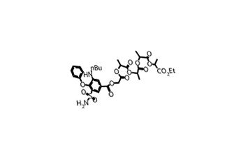 CCCCNc1cc(C(=O)OCC(=O)OC(C)C(=O)OC(C)C(=O)OC(C)C(=O)OC(C)C(=O)OCC)cc(S(N)(=O)=O)c1Oc1ccccc1